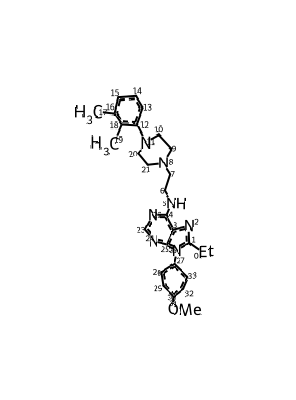 CCc1nc2c(NCCN3CCN(c4cccc(C)c4C)CC3)ncnc2n1-c1ccc(OC)cc1